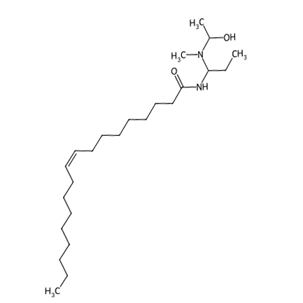 CCCCCCCC/C=C\CCCCCCCC(=O)NC(CC)N(C)C(C)O